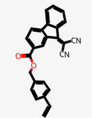 C=Cc1ccc(COC(=O)c2ccc3c(c2)C(=C(C#N)C#N)c2ccccc2-3)cc1